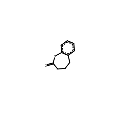 O=C1[C]CCc2ccccc2O1